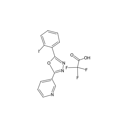 Ic1ccccc1-c1nnc(-c2cccnc2)o1.O=C(O)C(F)(F)F